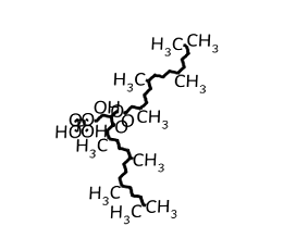 CC(C)CCCC(C)CCCC(C)CCCC(C)CC(=O)OC(C(=O)CC(C)CCCC(C)CCCC(C)CCCC(C)C)C(O)COP(=O)(O)O